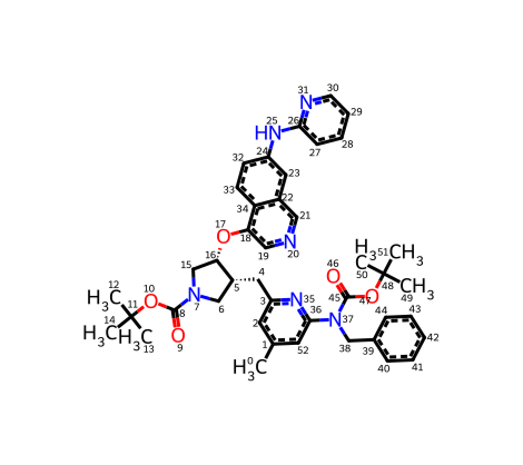 Cc1cc(C[C@@H]2CN(C(=O)OC(C)(C)C)C[C@@H]2Oc2cncc3cc(Nc4ccccn4)ccc23)nc(N(Cc2ccccc2)C(=O)OC(C)(C)C)c1